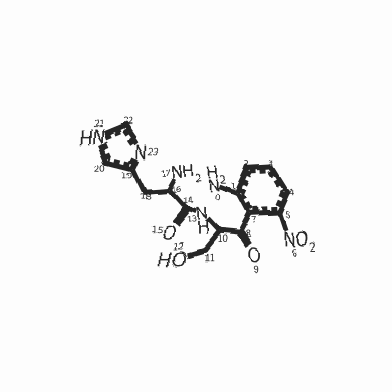 Nc1cccc([N+](=O)[O-])c1C(=O)C(CO)NC(=O)C(N)Cc1c[nH]cn1